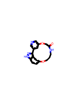 O=C1COc2cncc(c2)-c2n[nH]c3ccc(cc23)OCCCN1